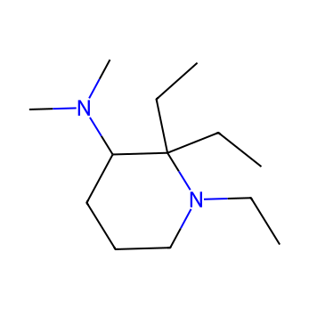 CCN1CCCC(N(C)C)C1(CC)CC